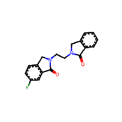 O=C1c2ccccc2CN1CCN1Cc2ccc(F)cc2C1=O